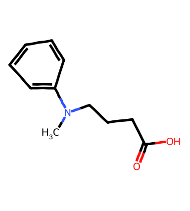 CN(CCCC(=O)O)c1ccccc1